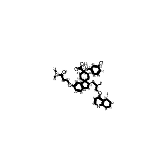 C[C@@H](COc1ccnc2c1[C@H](C)CCC2)C[C@H]1Cc2ccc(OCCC(=O)N(C)C)cc2C12CCC(Nc1cccc(Cl)c1)(C(=O)O)CC2